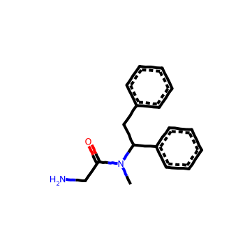 CN(C(=O)CN)C(Cc1ccccc1)c1ccccc1